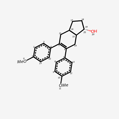 COc1ccc(C2=C(c3ccc(OC)cc3)CC3C(CC[C@@H]3O)C2)cc1